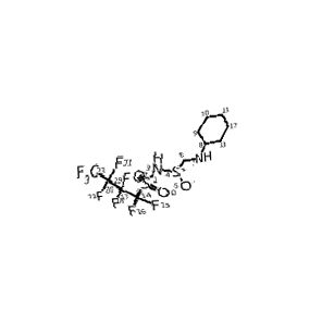 O=S(=O)(N[S+]([O-])CNC1CCCCC1)C(F)(F)C(F)(F)C(F)(F)C(F)(F)F